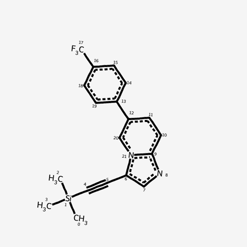 C[Si](C)(C)C#Cc1cnc2ccc(-c3ccc(C(F)(F)F)cc3)cn12